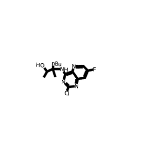 CCCCC(C)(Nc1nc(Cl)nc2cc(F)cnc12)C(C)O